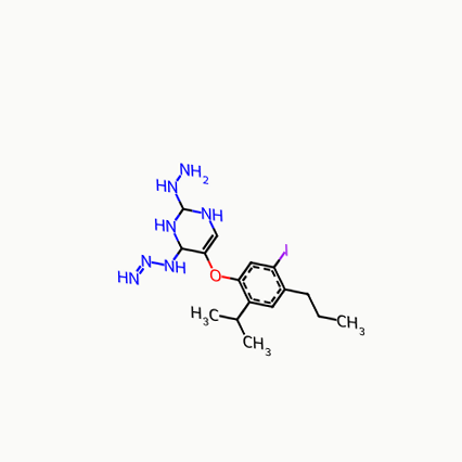 CCCc1cc(C(C)C)c(OC2=CNC(NN)NC2NN=N)cc1I